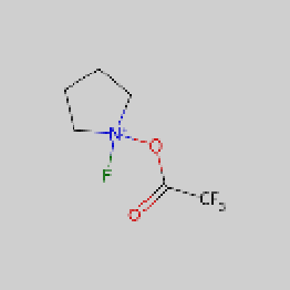 O=C(O[N+]1(F)CCCC1)C(F)(F)F